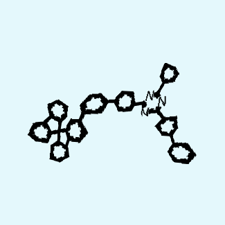 c1ccc(-c2ccc(-c3nc(-c4ccccc4)nc(-c4ccc(-c5cccc(-c6ccc7c(c6)C6(c8ccccc8-c8ccccc86)c6ccccc6-7)c5)cc4)n3)cc2)cc1